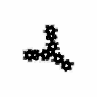 c1ccc(-c2ccc(-n3c4ccc(-c5nc6ccccc6o5)cc4c4cc(-c5nc6ccccc6o5)ccc43)cc2)cc1